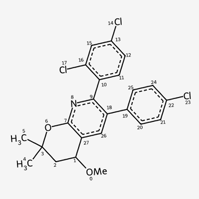 COC1CC(C)(C)Oc2nc(-c3ccc(Cl)cc3Cl)c(-c3ccc(Cl)cc3)cc21